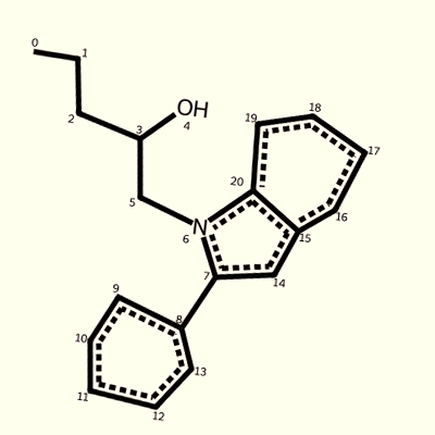 CCCC(O)Cn1c(-c2ccccc2)cc2ccccc21